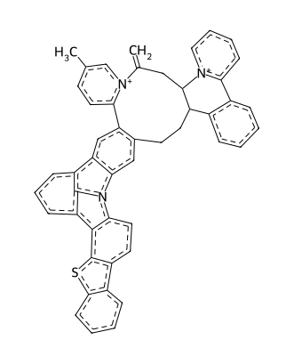 C=C1CC2C(CCc3cc4c(cc3-c3ccc(C)c[n+]31)c1cccc3c5c6sc7ccccc7c6ccc5n4c13)c1ccccc1-c1cccc[n+]12